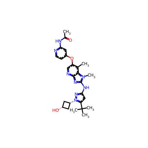 CC(=O)Nc1cc(Oc2cnc3nc(Nc4cc(C(C)(C)C)n([C@H]5C[C@@H](O)C5)n4)n(C)c3c2C)ccn1